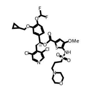 COc1cc(C(=O)O[C@@H](Cc2c(Cl)cncc2Cl)c2ccc(OC(F)F)c(OCC3CC3)c2)sc1NS(=O)(=O)CCCN1CCOCC1